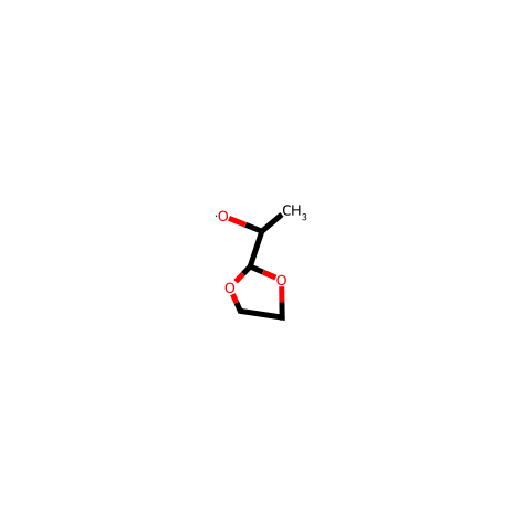 CC([O])C1OCCO1